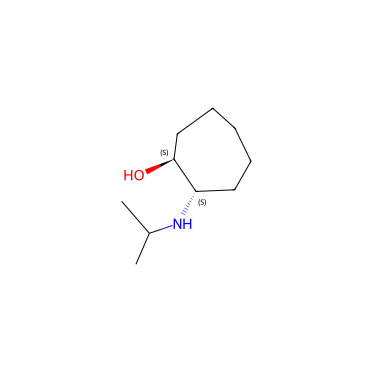 CC(C)N[C@H]1CCCCC[C@@H]1O